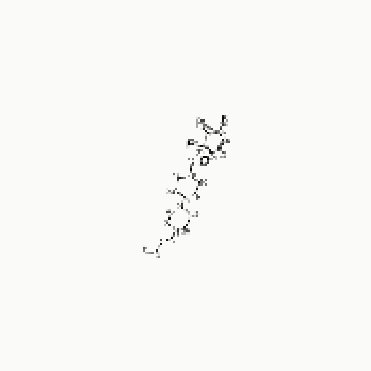 CCCC[C@H]1CC[C@H]([C@H]2CC[C@H](COc3ccc(F)c(F)c3F)CC2)CC1